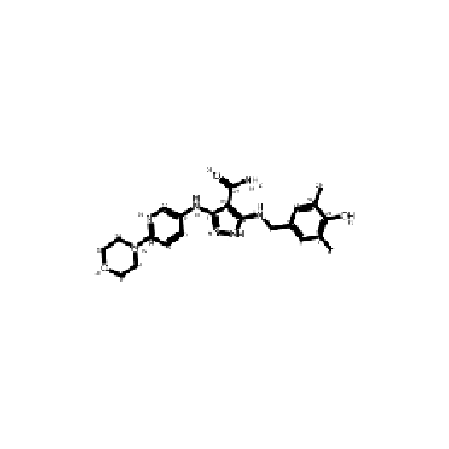 Cc1cc(CNc2[nH]nc(Nc3ccc(N4CCOCC4)nc3)c2C(N)=O)cc(C)c1O